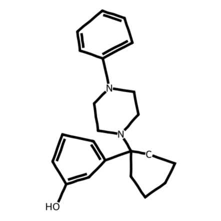 Oc1cccc(C2(N3CCN(c4ccccc4)CC3)CCCCC2)c1